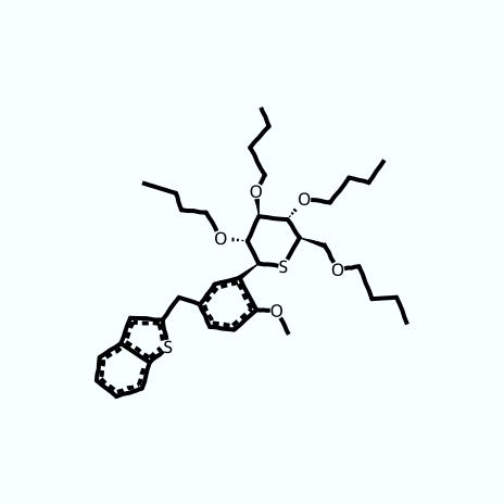 CCCCOC[C@H]1S[C@@H](c2cc(Cc3cc4ccccc4s3)ccc2OC)[C@H](OCCCC)[C@@H](OCCCC)[C@@H]1OCCCC